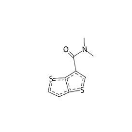 CN(C)C(=O)c1csc2ccsc12